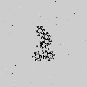 Cc1cc(Cc2cc(-c3ccccc3)nc3ccccc23)c2ccc3ccc(-c4ccccc4)nc3c2n1